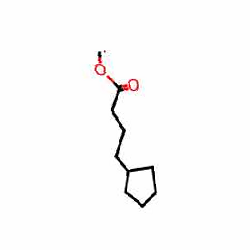 [CH2]OC(=O)CCCC1CCCC1